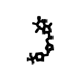 Cc1nc(NCc2cnn(Cc3ccc(C(F)(F)F)cn3)c2)nc2c1NC(=O)[C@H](C)N2C